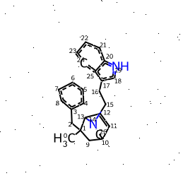 CC1(Cc2ccccc2)CC2C=CC1N(CCc1c[nH]c3ccccc13)C2